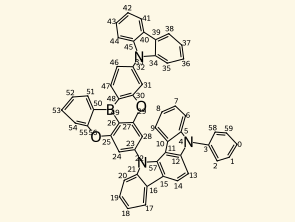 c1ccc(-n2c3ccccc3c3c2ccc2c4ccccc4n(-c4cc5c6c(c4)Oc4cc(-n7c8ccccc8c8ccccc87)ccc4B6c4ccccc4O5)c23)cc1